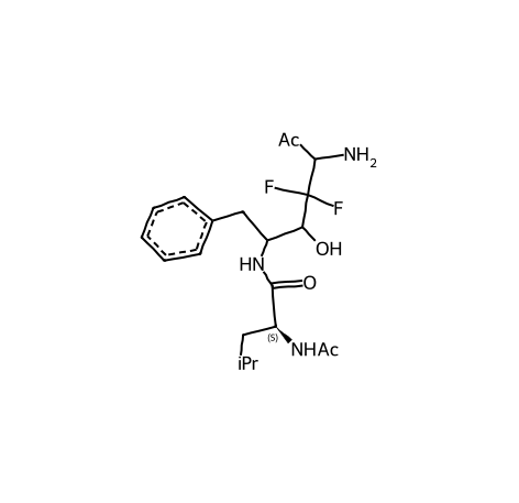 CC(=O)N[C@@H](CC(C)C)C(=O)NC(Cc1ccccc1)C(O)C(F)(F)C(N)C(C)=O